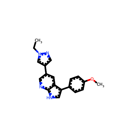 CCn1cc(-c2cnc3[nH]cc(-c4ccc(OC)cc4)c3c2)cn1